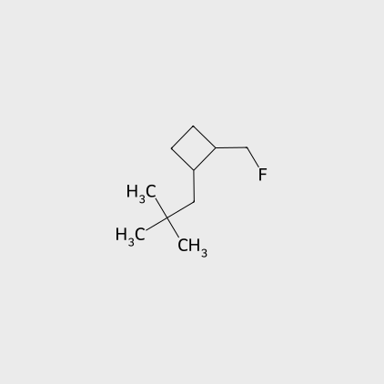 CC(C)(C)CC1CCC1CF